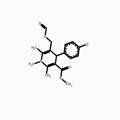 COC(=O)C1=C(C)N(C)C(C)=C(COC=O)C1c1ccc(Cl)cc1